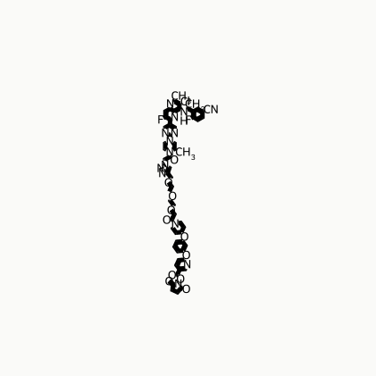 Cc1nc2cc(F)c(-c3cnc(N4CCN(C(=O)Cn5cc(COCCOCCOCC(=O)N6CCC(Oc7cccc(Oc8ccc(C(=O)ON9C(=O)CCC9=O)cn8)c7)CC6)nn5)[C@H](C)C4)nc3)nc2c(N[C@H](C)c2cc(C#N)ccc2F)c1Cl